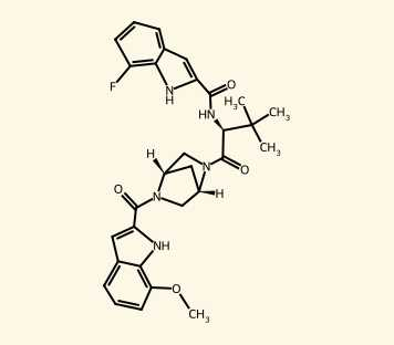 COc1cccc2cc(C(=O)N3C[C@@H]4C[C@H]3CN4C(=O)[C@@H](NC(=O)c3cc4cccc(F)c4[nH]3)C(C)(C)C)[nH]c12